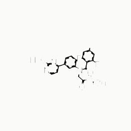 Cc1nccc(-c2cccc(N(CC(=O)OC(C)(C)C)C(=O)c3c(F)cc(F)cc3F)c2)n1